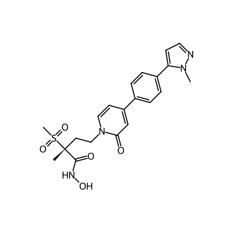 Cn1nccc1-c1ccc(-c2ccn(CC[C@](C)(C(=O)NO)S(C)(=O)=O)c(=O)c2)cc1